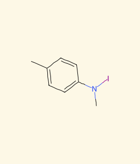 Cc1ccc(N(C)I)cc1